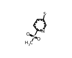 CS(=O)(=O)c1ccc([S])cn1